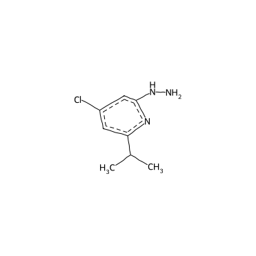 CC(C)c1cc(Cl)cc(NN)n1